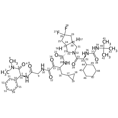 CN(C)C(=O)[C@@H](NC(=O)CNC(=O)C(=O)C(CC1CC1)NC(=O)[C@@H]1[C@H]2CC(F)(F)C[C@H]2CN1C(=O)[C@@H](NC(=O)NC(C)(C)C)C1CCCCC1)c1ccccc1